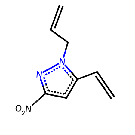 C=CCn1nc([N+](=O)[O-])cc1C=C